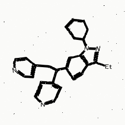 CCc1nn(C2CCCCC2)c2cc(C(Cc3ccncc3)c3ccncc3)ccc12